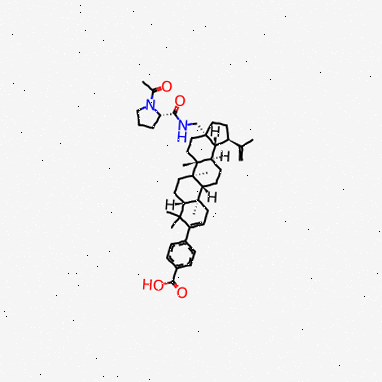 C=C(C)[C@@H]1CC[C@]2(CNC(=O)[C@@H]3CCCN3C(C)=O)CC[C@]3(C)[C@H](CC[C@@H]4[C@@]5(C)CC=C(c6ccc(C(=O)O)cc6)C(C)(C)[C@@H]5CC[C@]43C)[C@@H]12